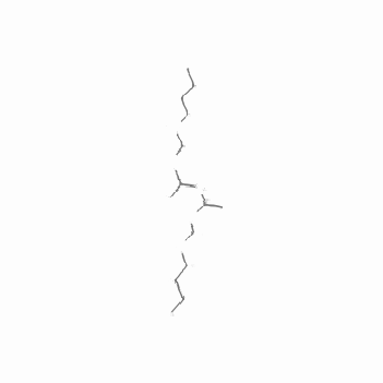 CCCCOCOC(C)[N]C(C)OCOCCCC